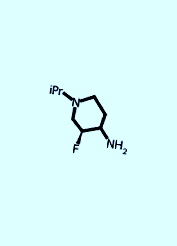 CC(C)N1CCC(N)[C@@H](F)C1